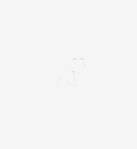 CC(C)S(C)(C(C)C)C1(C)CCCCC1